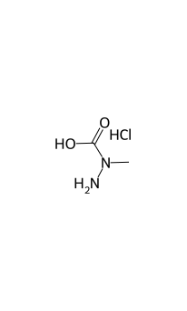 CN(N)C(=O)O.Cl